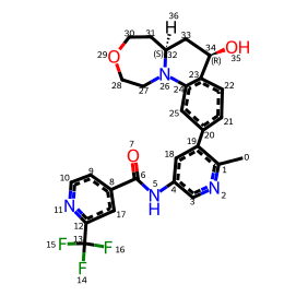 Cc1ncc(NC(=O)c2ccnc(C(F)(F)F)c2)cc1-c1ccc2c(c1)N1CCOCC[C@H]1C[C@H]2O